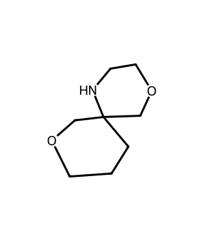 C1COCC2(C1)COCCN2